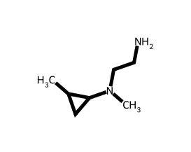 CC1CC1N(C)CCN